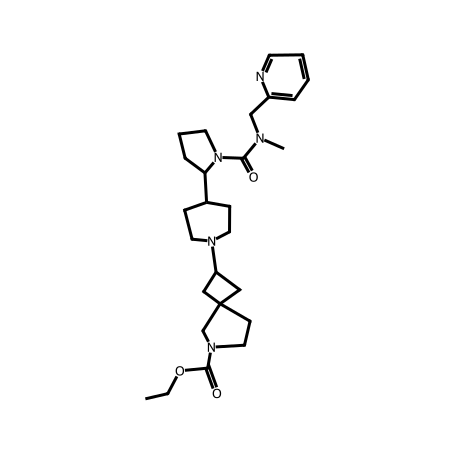 CCOC(=O)N1CCC2(CC(N3CCC(C4CCCN4C(=O)N(C)Cc4ccccn4)CC3)C2)C1